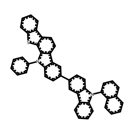 c1ccc(-n2c3ccc(-c4ccc5c(c4)c4ccccc4n5-c4cccc5ccccc45)cc3c3ccc4c5ccccc5sc4c32)cc1